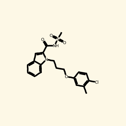 Cc1cc(OCCCn2c(C(=O)NS(C)(=O)=O)cc3ccccc32)ccc1Cl